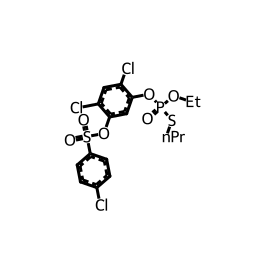 CCCSP(=O)(OCC)Oc1cc(OS(=O)(=O)c2ccc(Cl)cc2)c(Cl)cc1Cl